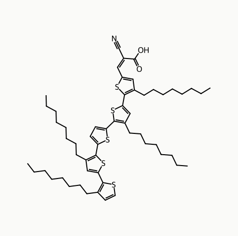 CCCCCCCCc1ccsc1-c1cc(CCCCCCCC)c(-c2ccc(-c3sc(-c4sc(C=C(C#N)C(=O)O)cc4CCCCCCCC)cc3CCCCCCCC)s2)s1